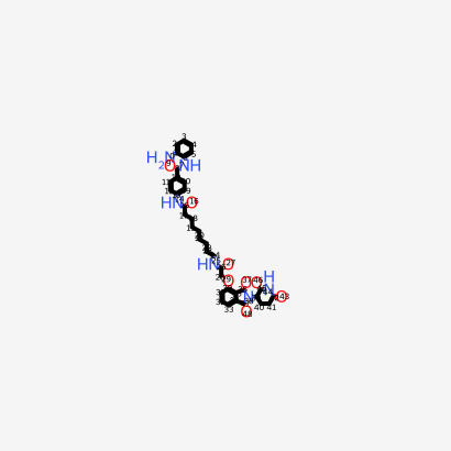 Nc1ccccc1NC(=O)c1ccc(NC(=O)CCCCCCCCNC(=O)COc2cccc3c2C(=O)N(C2CCC(=O)NC2=O)C3=O)cc1